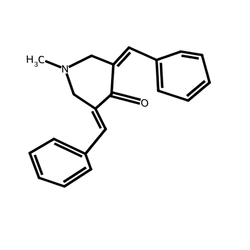 CN1C/C(=C/c2ccccc2)C(=O)/C(=C/c2ccccc2)C1